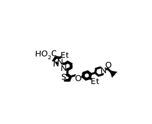 CCc1cc(OCc2ccsc2-c2cccc(-n3ncc(C(=O)O)c3CC)n2)ccc1C1CCN(C(=O)C2CC2)CC1